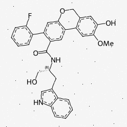 COc1cc2c(cc1O)COc1cc(-c3ccccc3F)c(C(=O)N[C@@H](CO)Cc3c[nH]c4ccccc34)cc1-2